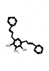 Cc1c(O)c(CC=Cc2ccccc2)cc(CC=Cc2ccccc2)c1O